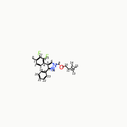 Cc1ccc(-c2cn(COCC[Si](C)(C)C)nc2-c2ccccc2)c(F)c1F